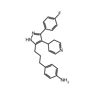 Nc1ccc(CCCc2[nH]nc(-c3ccc(F)cc3)c2C2C=CN=CC2)cc1